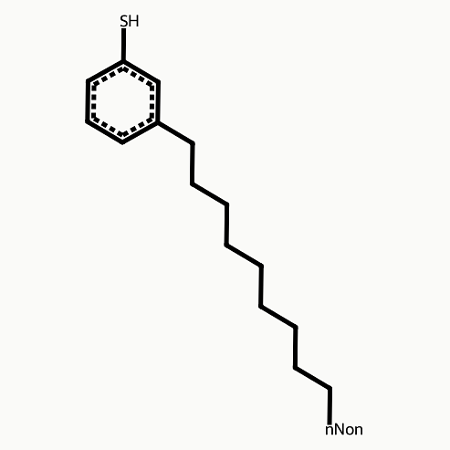 CCCCCCCCCCCCCCCCCCc1cccc(S)c1